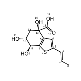 C/C=C/c1cc2c(s1)[C@@H](O)[C@H](O)C[C@]2(O)C(=O)O